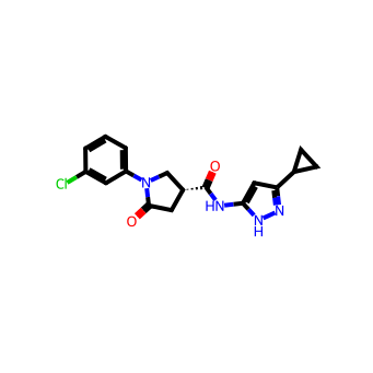 O=C(Nc1cc(C2CC2)n[nH]1)[C@@H]1CC(=O)N(c2cccc(Cl)c2)C1